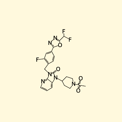 CS(=O)(=O)N1CCC(n2c(=O)n(Cc3ccc(-c4nnc(C(F)F)o4)cc3F)c3ncccc32)CC1